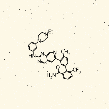 CCN1CCN(c2cccc(Nc3ncc4cc(-c5cc(-c6c(C(N)=O)cccc6C(F)(F)F)ccc5C)ncc4n3)c2)CC1